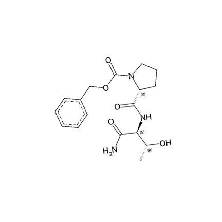 C[C@@H](O)[C@H](NC(=O)[C@H]1CCCN1C(=O)OCc1ccccc1)C(N)=O